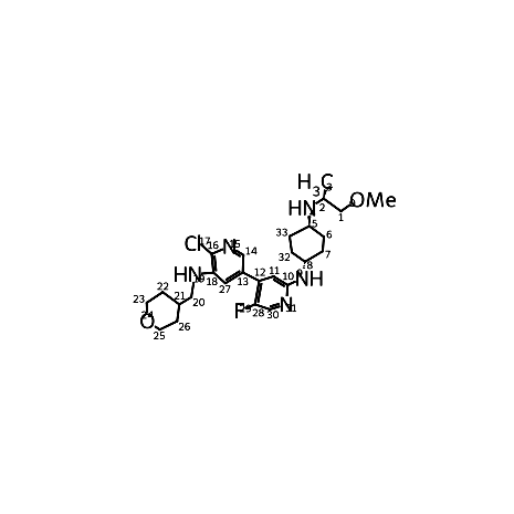 COC[C@H](C)N[C@H]1CC[C@H](Nc2cc(-c3cnc(Cl)c(NCC4CCOCC4)c3)c(F)cn2)CC1